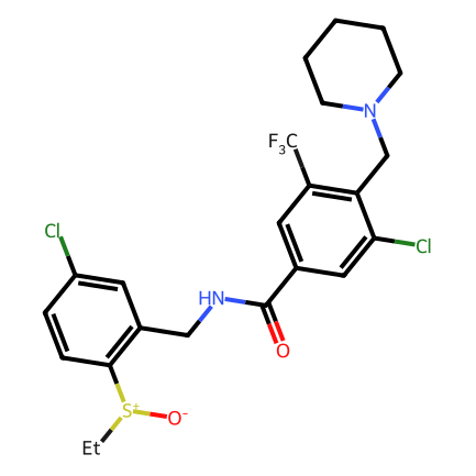 CC[S+]([O-])c1ccc(Cl)cc1CNC(=O)c1cc(Cl)c(CN2CCCCC2)c(C(F)(F)F)c1